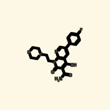 NC(=O)c1c(O)c2cc(-c3ccc(F)cc3)cnc2n(CCN2CCOCC2)c1=O